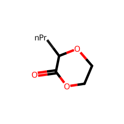 CCCC1OCCOC1=O